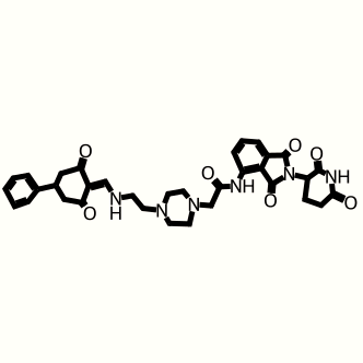 O=C1CCC(N2C(=O)c3cccc(NC(=O)CN4CCN(CCNC=C5C(=O)CC(c6ccccc6)CC5=O)CC4)c3C2=O)C(=O)N1